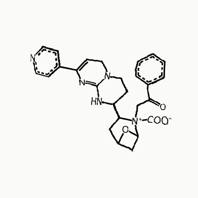 O=C(C[N+]1(C(=O)[O-])C2CC(CC1C1CCN3CC=C(c4ccncc4)N=C3N1)O2)c1ccccc1